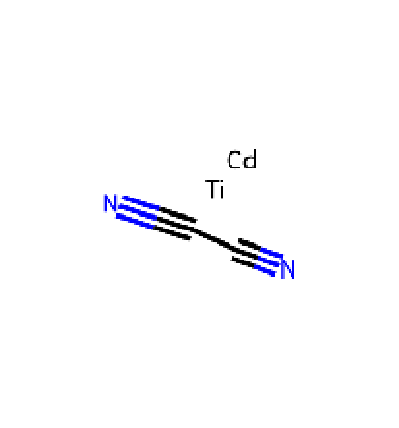 N#CC#N.[Cd].[Ti]